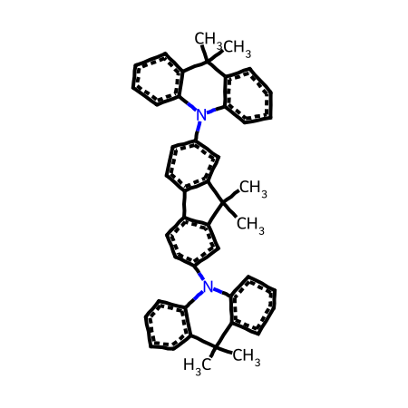 CC1(C)c2cc(N3c4ccccc4C(C)(C)c4ccccc43)ccc2-c2ccc(N3c4ccccc4C(C)(C)c4ccccc43)cc21